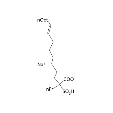 CCCCCCCCC=CCCCCCCC(CCC)(C(=O)[O-])S(=O)(=O)O.[Na+]